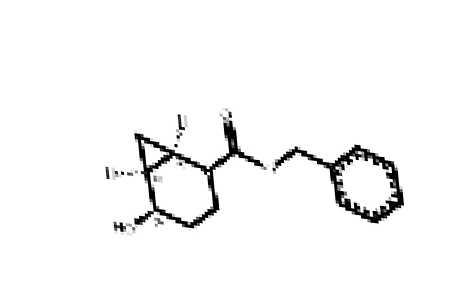 O=C(OCc1ccccc1)N1CC[C@@H](O)[C@H]2C[C@H]21